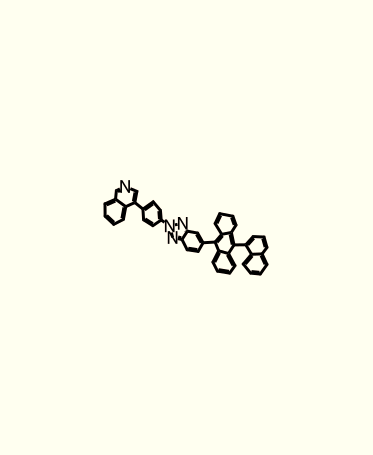 c1ccc2c(-c3ccc(-n4nc5ccc(-c6c7ccccc7c(-c7cccc8ccccc78)c7ccccc67)cc5n4)cc3)cncc2c1